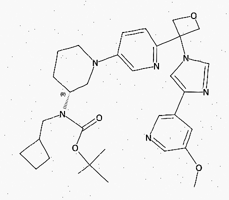 COc1cncc(-c2cn(C3(c4ccc(N5CCC[C@@H](N(CC6CCC6)C(=O)OC(C)(C)C)C5)cn4)COC3)cn2)c1